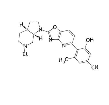 CCN1CC[C@@H]2CCN(c3nc4nc(-c5c(C)cc(C#N)cc5O)ccc4o3)[C@@H]2C1